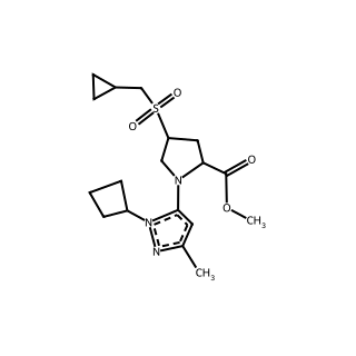 COC(=O)C1CC(S(=O)(=O)CC2CC2)CN1c1cc(C)nn1C1CCC1